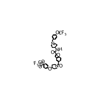 O=C(NC1CCN(Cc2ccc(OC(F)(F)F)cc2)CC1)c1cc2cc(C(=O)N3CCC(Oc4ccc(S(=O)(=O)C(F)(F)F)cc4)CC3)ccc2o1